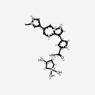 Cn1cc(-c2cnc3c(-c4csc(C(=O)N[C@@H]5CS(O)(O)C[C@H]5O)c4)cnn3c2)cn1